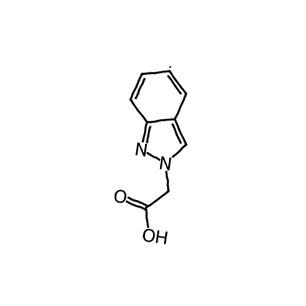 O=C(O)Cn1cc2c[c]ccc2n1